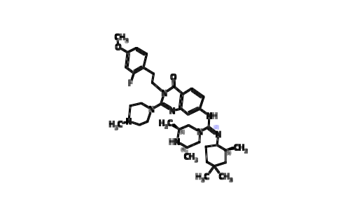 COc1ccc(CCn2c(N3CCN(C)CC3)nc3cc(N/C(=N/C4CCC(C)(C)C[C@@H]4C)N4C[C@H](C)N[C@@H](C)C4)ccc3c2=O)c(F)c1